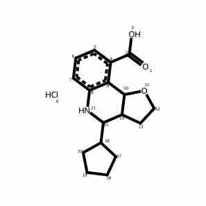 Cl.O=C(O)c1cccc2c1C1OCCC1C(C1CCCC1)N2